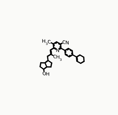 C/C(=C\c1nc(-c2ccc(C3=CCCCC3)cc2)c(C#N)cc1C)CC1CCC2C(O)CCC12